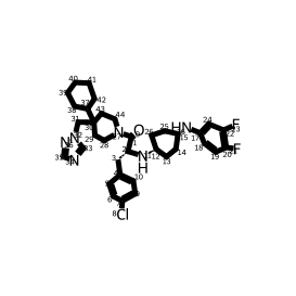 O=C([C@@H](Cc1ccc(Cl)cc1)N[C@H]1CC[C@@H](Nc2ccc(F)c(F)c2)CC1)N1CCC(Cn2cncn2)(C2CCCCC2)CC1